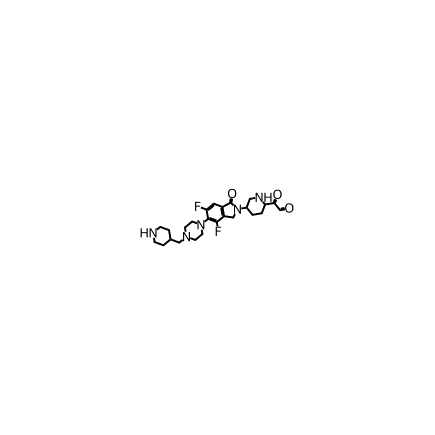 O=CC(=O)C1CCC(N2Cc3c(cc(F)c(N4CCN(CC5CCNCC5)CC4)c3F)C2=O)CN1